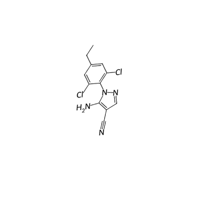 CCc1cc(Cl)c(-n2ncc(C#N)c2N)c(Cl)c1